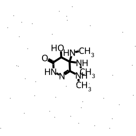 CNC1=NNC(=O)C(O)C1(NC)NC